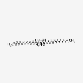 CCCCCCCCCCCCCCCCCC(=O)C(O)C(N)C(O)CCCCCCCCCCCCCCCCC